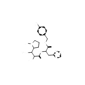 COC(C(C)C(=O)NC(Cc1nc[nH]n1)C(=O)NCc1ccc(N)cc1)C1CCCN1C